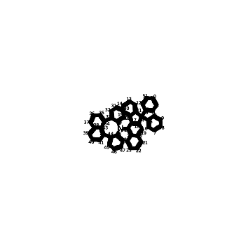 c1ccc(C2(c3ccccc3)c3ccccc3-c3c2cc2ccccc2c3N2c3ccccc3-c3cccc4cccc(c34)-c3ccccc32)cc1